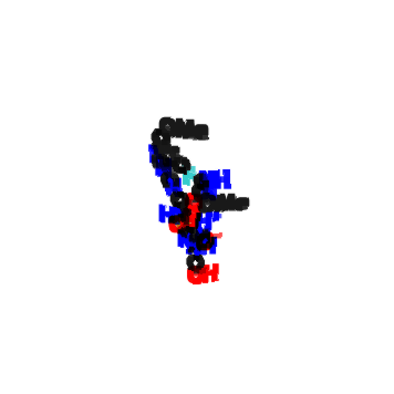 COc1ccc(CN2CCN(C3CCN(c4ccc(C(=O)NS(=O)(=O)c5cnc(NC[C@H]6CC[C@](C)(O)CC6)c([NH+](C)[O-])c5)c(Oc5cc6c(F)c[nH]c6nc5OC)c4)CC3)[C@H](c3ccccc3C(C)C)C2)cc1